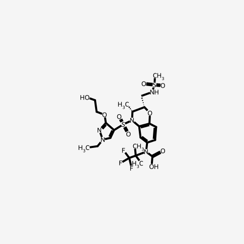 CCn1cc(S(=O)(=O)N2c3cc(N(C(=O)O)C(C)(C)C(F)(F)F)ccc3O[C@@H](CNS(C)(=O)=O)[C@H]2C)c(OCCO)n1